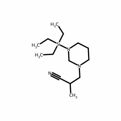 CC[Si](CC)(CC)N1CCCN(CC(C)C#N)C1